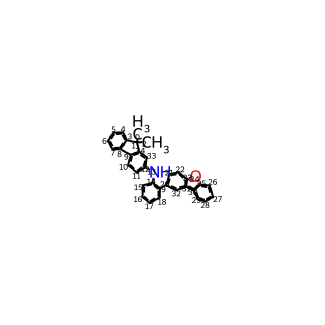 CC1(C)c2ccccc2-c2ccc(Nc3ccccc3-c3ccc4oc5ccccc5c4c3)cc21